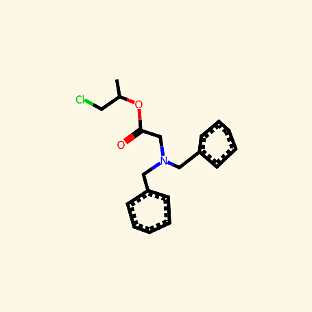 CC(CCl)OC(=O)CN(Cc1ccccc1)Cc1ccccc1